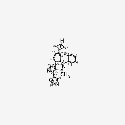 C[C@H]1N=C(c2ccccc2Cl)c2cc([C@]34C[C@H]3C4)ccc2-n2cnc(-c3cnco3)c21